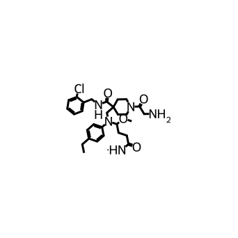 CCc1ccc(N(CC2(C(=O)NCc3ccccc3Cl)CCN(C(=O)CN)CC2)C(CCC([NH])=O)OC)cc1